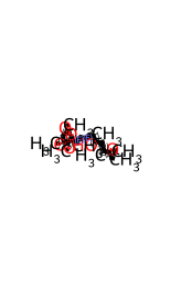 CC[C@H](OC)[C@@H](C)[C@H]1CC1[C@H](O)[C@@H](C)/C=C/C=C(\C)[C@@H]1O[C@@H](OC)C[C@H](OC)[C@H]1OC